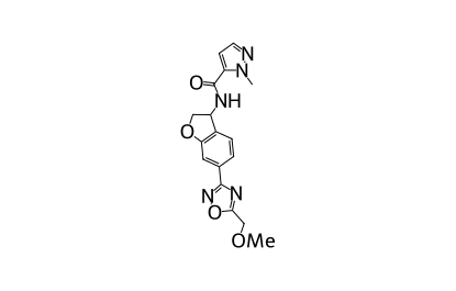 COCc1nc(-c2ccc3c(c2)OCC3NC(=O)c2ccnn2C)no1